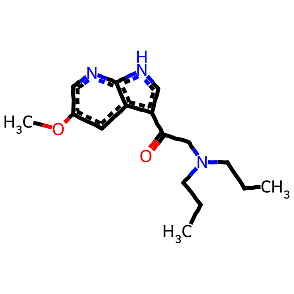 CCCN(CCC)CC(=O)c1c[nH]c2ncc(OC)cc12